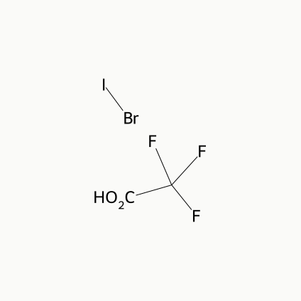 BrI.O=C(O)C(F)(F)F